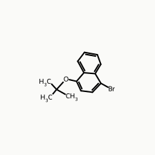 CC(C)(C)Oc1ccc(Br)c2ccccc12